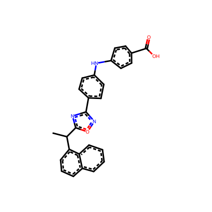 CC(c1nc(-c2ccc(Nc3ccc(C(=O)O)cc3)cc2)no1)c1cccc2ccccc12